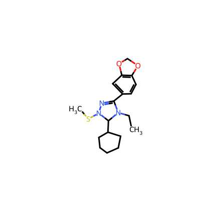 CCN1C(c2ccc3c(c2)OCO3)=NN(SC)C1C1CCCCC1